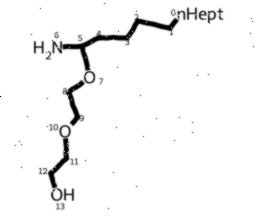 CCCCCCCCCCCC(N)OCCOCCO